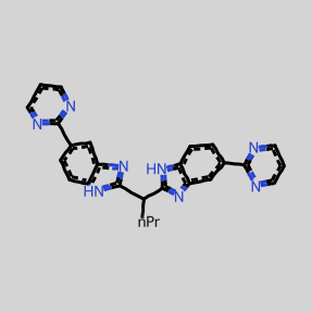 CCCC(c1nc2cc(-c3ncccn3)ccc2[nH]1)c1nc2cc(-c3ncccn3)ccc2[nH]1